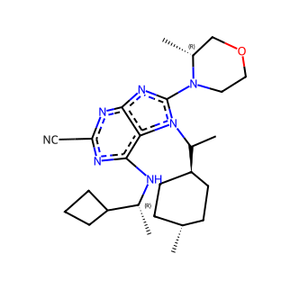 CC([C@H]1CC[C@H](C)CC1)n1c(N2CCOC[C@H]2C)nc2nc(C#N)nc(N[C@H](C)C3CCC3)c21